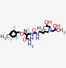 Cc1cc(F)c(COc2nsc(NC(=O)NCCCCN(CC(C)O)CC(C)O)c2C(N)=O)c(F)c1F